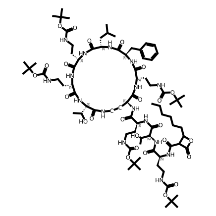 CCCCCCC1OC(=O)C1C(=O)N[C@@H](CCNC(=O)OC(C)(C)C)C(=O)N[C@H](C(=O)N[C@@H](CCNC(=O)OC(C)(C)C)C(=O)N[C@H]1CCNC(=O)[C@H](C(C)O)NC(=O)[C@H](CCNC(=O)OC(C)(C)C)NC(=O)[C@H](CCNC(=O)OC(C)(C)C)NC(=O)[C@H](CC(C)C)NC(=O)[C@@H](Cc2ccccc2)NC(=O)[C@H](CCNC(=O)OC(C)(C)C)NC1=O)C(C)O